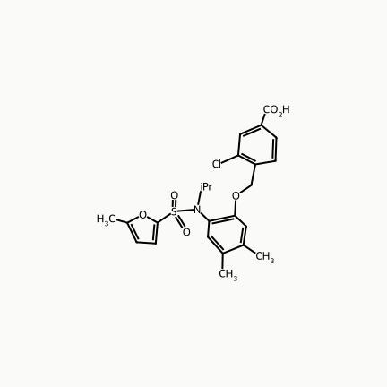 Cc1ccc(S(=O)(=O)N(c2cc(C)c(C)cc2OCc2ccc(C(=O)O)cc2Cl)C(C)C)o1